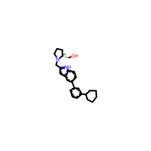 OC[C@H]1CCCN1Cc1cc2cc(-c3cccc(C4CCCCC4)c3)ccc2[nH]1